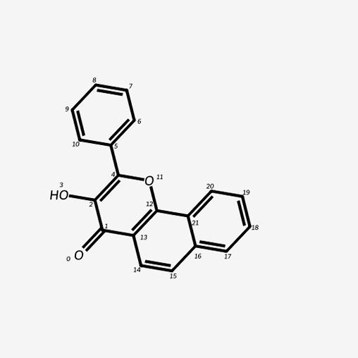 O=c1c(O)c(-c2ccccc2)oc2c1ccc1ccccc12